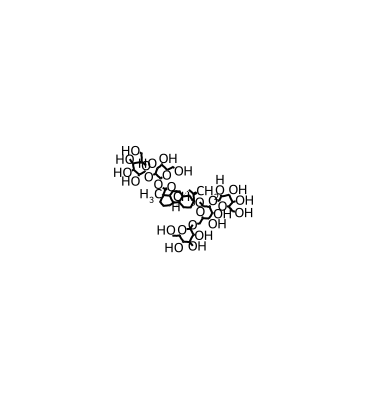 C=C1C[C@@]23CCC4[C@](C)(C(=O)OC5OC(CO)C(O)C(O)C5OC5OC(CO)C(O)C(O)C5O)CCC[C@@]4(C)[C@@H]2CCC1(OC1OC(COC2OC(CO)C(O)C(O)C2O)C(O)C(O)C1OC1OC(CO)C(O)C(O)C1O)C3